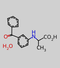 CC(Nc1cccc(C(=O)c2ccccc2)c1)C(=O)O.O